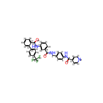 O=C(NCc1ccc(NC(=O)c2ccncc2)cc1)c1cccc(NC(=O)c2ccccc2-c2ccc(C(F)(F)F)cc2)c1